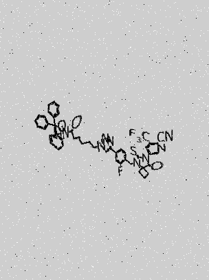 N#Cc1ncc(N2C(=O)C3(CCC3)N(Cc3ccc(-c4cn(CCCCCC(=O)NOC(c5ccccc5)(c5ccccc5)c5ccccc5)nn4)cc3F)C2=S)cc1C(F)(F)F